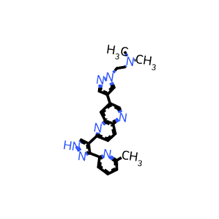 Cc1cccc(-c2n[nH]cc2-c2ccc3ncc(-c4cnn(CCN(C)C)c4)cc3n2)n1